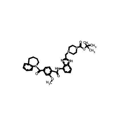 COc1cc(C(=O)N2CCCCc3ccccc32)ccc1C(=O)Nc1cccc2[nH]c(CN3CCN(C(=O)OC(C)(C)C)CC3)nc12